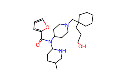 CC1CCC(N(C(=O)c2ccco2)C2CCN(CC3(CCCO)CCCCC3)CC2)NC1